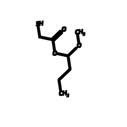 CCCC(OC)OC(=O)CS